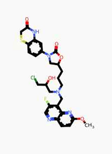 COc1ccc2ncc(F)c(CN(CCCC3CN(c4ccc5c(c4)NC(=O)CS5)C(=O)O3)CC(O)CCl)c2n1